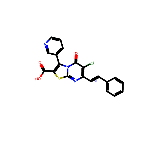 O=C(O)c1sc2nc(/C=C/c3ccccc3)c(Cl)c(=O)n2c1-c1cccnc1